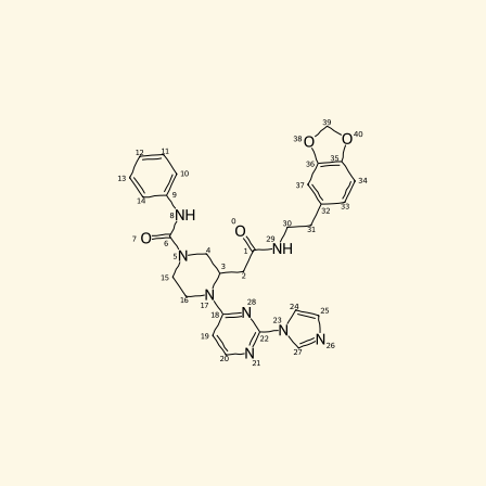 O=C(CC1CN(C(=O)Nc2ccccc2)CCN1c1ccnc(-n2ccnc2)n1)NCCc1ccc2c(c1)OCO2